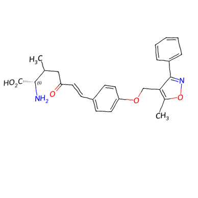 Cc1onc(-c2ccccc2)c1COc1ccc(C=CC(=O)CC(C)[C@H](N)C(=O)O)cc1